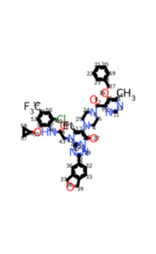 CCc1c(N2CCN(C(=O)c3ncnc(C)c3OCc3ccccc3)CC2)c(=O)n2nc(-c3ccc4c(c3)COC4)nc2n1CC(=O)Nc1c(Cl)cc(C(F)(F)F)cc1OC1CC1